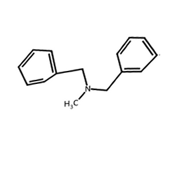 CN(Cc1c[c]ccc1)Cc1ccccc1